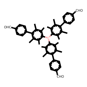 Cc1c(C)c(-c2ccc(C=O)cc2)c(C)c(C)c1B(c1c(C)c(C)c(-c2ccc(C=O)cc2)c(C)c1C)c1c(C)c(C)c(-c2ccc(C=O)cc2)c(C)c1C